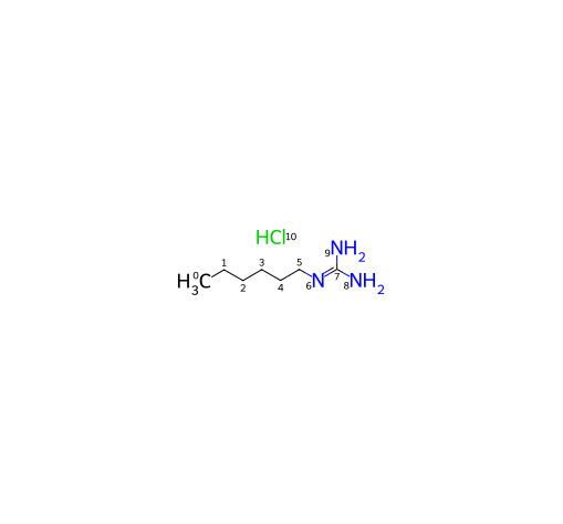 CCCCCCN=C(N)N.Cl